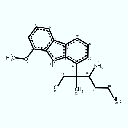 COc1cccc2c1[nH]c1c(C(C)(CCl)C(N)CCN)cccc12